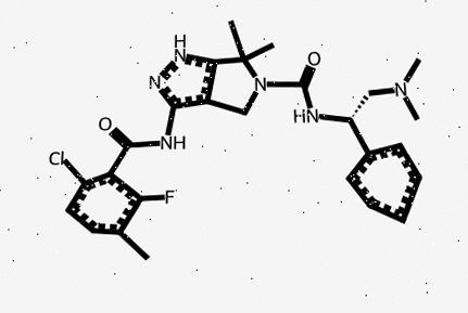 Cc1ccc(Cl)c(C(=O)Nc2n[nH]c3c2CN(C(=O)N[C@H](CN(C)C)c2ccccc2)C3(C)C)c1F